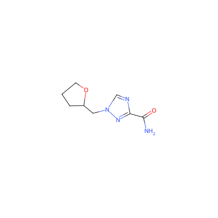 NC(=O)c1ncn(CC2CCCO2)n1